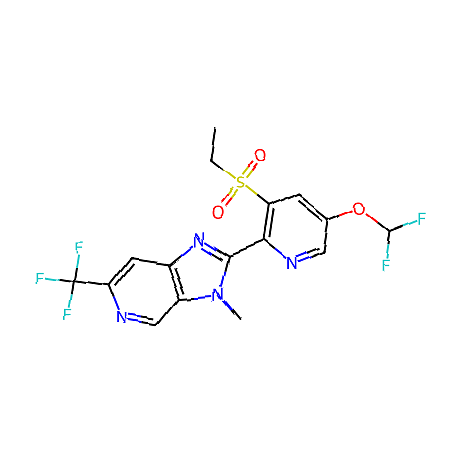 CCS(=O)(=O)c1cc(OC(F)F)cnc1-c1nc2cc(C(F)(F)F)ncc2n1C